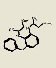 CCCCCCCCCCCC(C)Nc1cccc(Sc2ccccc2)c1NC(C)CCCCCCCCCCC